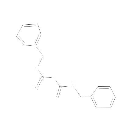 N=C(NCc1ccccc1)OC(=O)NCc1ccccc1